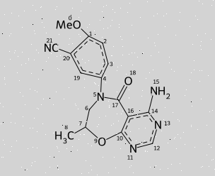 COc1ccc(N2CC(C)Oc3ncnc(N)c3C2=O)cc1C#N